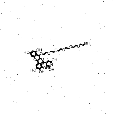 NCCOCCOCCOCCOCCOCCOC1c2c(O)cc(O)cc2OC(c2cc(O)c(O)c(O)c2)C1OC(=O)c1cc(O)nc(O)c1